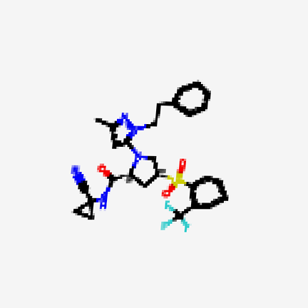 Cc1cc(N2C[C@H](S(=O)(=O)c3ccccc3C(F)(F)F)C[C@@H]2C(=O)NC2(C#N)CC2)n(CCc2ccccc2)n1